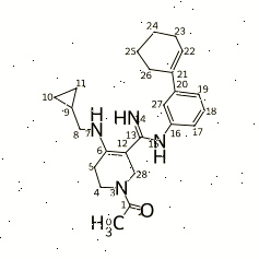 CC(=O)N1CCC(NCC2CC2)=C(C(=N)Nc2cccc(C3=CCCCC3)c2)C1